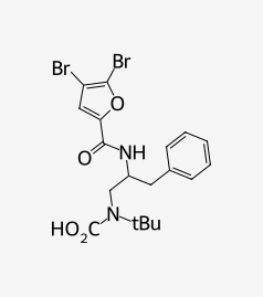 CC(C)(C)N(CC(Cc1ccccc1)NC(=O)c1cc(Br)c(Br)o1)C(=O)O